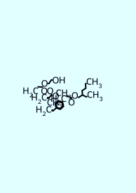 C=C(C)C(=O)OC.C=CC(=O)OCC(CC)CCCC.C=CC(=O)OCCO.C=Cc1ccccc1